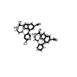 N#Cc1cc(-c2ccc(Cl)nc2)c2c(c1)cc1n2CCCNC1=O.N#Cc1cc(-c2ccncc2)c2c(c1)cc1n2CCCNC1=O